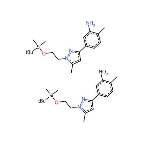 Cc1ccc(-c2cc(C)n(CCO[Si](C)(C)C(C)(C)C)n2)cc1N.Cc1ccc(-c2cc(C)n(CCO[Si](C)(C)C(C)(C)C)n2)cc1[N+](=O)[O-]